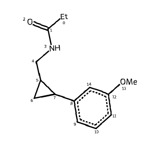 CCC(=O)NCC1CC1c1cccc(OC)c1